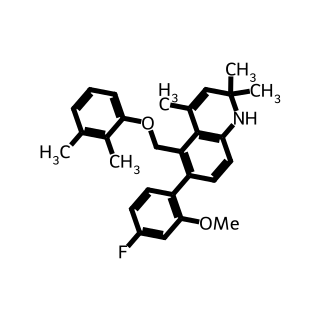 COc1cc(F)ccc1-c1ccc2c(c1COc1cccc(C)c1C)C(C)=CC(C)(C)N2